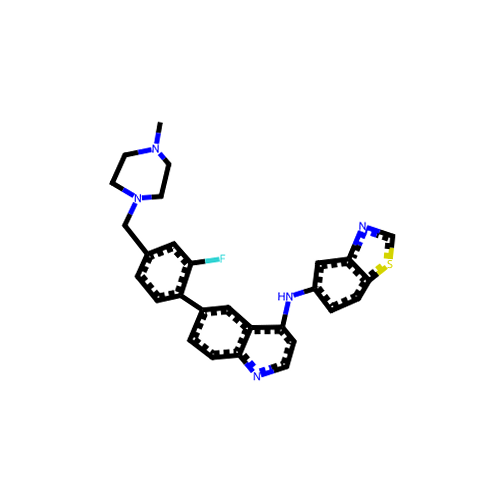 CN1CCN(Cc2ccc(-c3ccc4nccc(Nc5ccc6scnc6c5)c4c3)c(F)c2)CC1